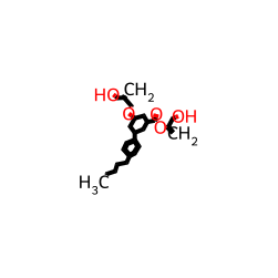 C=C(CO)COC1CC(C(=O)OC(=C)CO)CC(c2ccc(CCCCC)cc2)C1